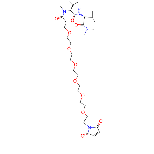 CC(C)[C@H](NC(=O)[C@H](C(C)C)N(C)C(=O)CCOCCOCCOCCOCCOCCOCCN1C(=O)C=CC1=O)C(=O)N(C)C